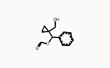 O=COC(c1ccccc1)C1(CO)CC1